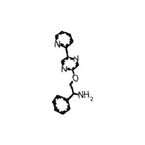 NC(COc1cnc(-c2ccccn2)cn1)c1ccccc1